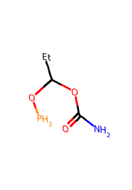 CCC(OP)OC(N)=O